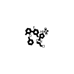 Cc1cccc(-c2cc(C[C@]3(c4nc(CCl)co4)CC[C@H](NS(C)(=O)=O)C3)ccc2F)c1OCc1ccccc1